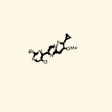 COc1cc2nc(-c3nc(Br)ncc3Cl)cn2nc1C1CC1